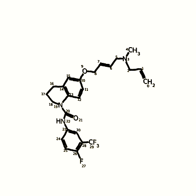 C=CCN(C)CC=CCOc1ccc2c(c1)CCCN2C(=O)Nc1ccc(F)c(C(F)(F)F)c1